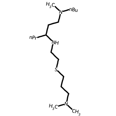 CCCCN(C)CCC(CCC)NCCSCCCN(C)C